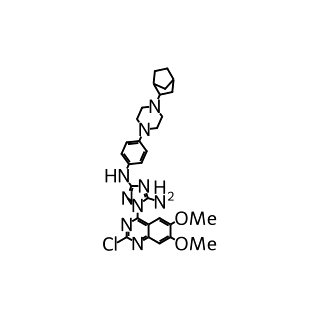 COc1cc2nc(Cl)nc(-n3nc(Nc4ccc(N5CCN(C6CC7CCC6C7)CC5)cc4)nc3N)c2cc1OC